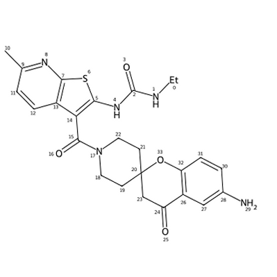 CCNC(=O)Nc1sc2nc(C)ccc2c1C(=O)N1CCC2(CC1)CC(=O)c1cc(N)ccc1O2